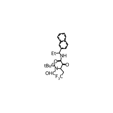 CCC(NC(=O)C(=O)C(CC(F)(F)F)N(C=O)OC(C)(C)C)c1ccc2ccccc2c1